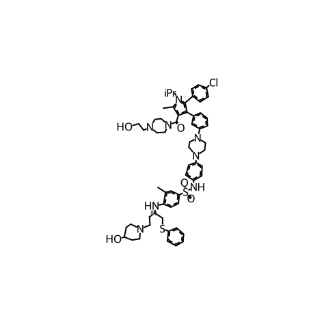 Cc1cc(S(=O)(=O)Nc2ccc(N3CCN(c4cccc(-c5c(C(=O)N6CCN(CCO)CC6)c(C)n(C(C)C)c5-c5ccc(Cl)cc5)c4)CC3)cc2)ccc1N[C@H](CCN1CCC(O)CC1)CSc1ccccc1